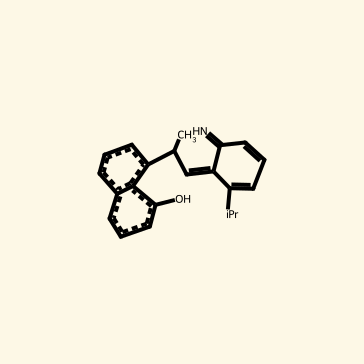 CC(C)C1=CC=CC(=N)/C1=C\C(C)c1cccc2cccc(O)c12